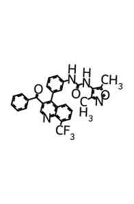 Cc1noc(C)c1NC(=O)Nc1cccc(-c2c(C(=O)c3ccccc3)cnc3c(C(F)(F)F)cccc23)c1